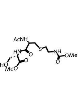 COC(=O)NCCSC[C@H](NC(C)=O)C(=O)N[C@@H](CO)C(=O)OC